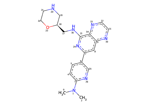 CN(C)c1ccc(-c2cc3nccnc3c(NC[C@@H]3CNCCO3)n2)cn1